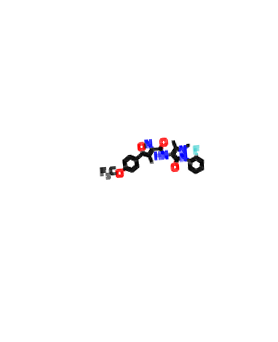 Cc1c(C(=O)Nc2c(C)n(C)n(-c3ccccc3F)c2=O)noc1-c1ccc(OC(F)(F)F)cc1